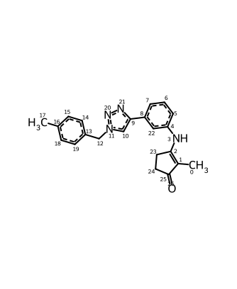 CC1=C(Nc2cccc(-c3cn(Cc4ccc(C)cc4)nn3)c2)CCC1=O